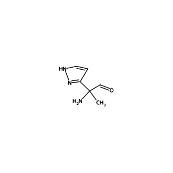 CC(N)([C]=O)c1cc[nH]n1